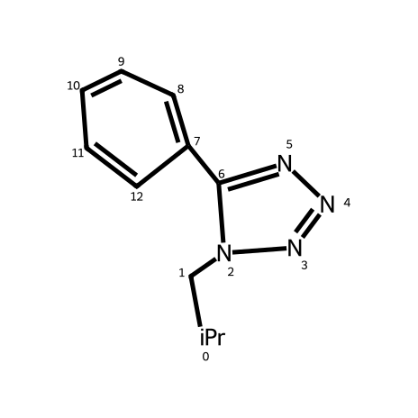 CC(C)Cn1nnnc1-c1ccccc1